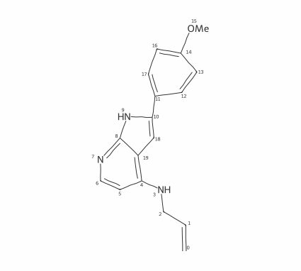 C=CCNc1ccnc2[nH]c(-c3ccc(OC)cc3)cc12